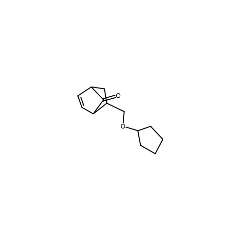 O=C1C2C=CC1C(COC1CCCC1)C2